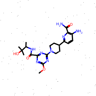 COc1nc(C(=O)NC(C)C(C)(C)O)nc(N2CCC(c3ccc(N)c(C(N)=O)n3)CC2)n1